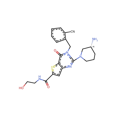 N#Cc1ccccc1Cn1c(N2CCC[C@@H](N)C2)nc2cc(C(=O)NCCO)sc2c1=O